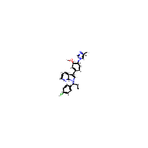 CCC(c1ccc(F)cc1)n1cc(-c2ccc(-n3cnc(C)c3)c(OC)c2)c2cccnc21